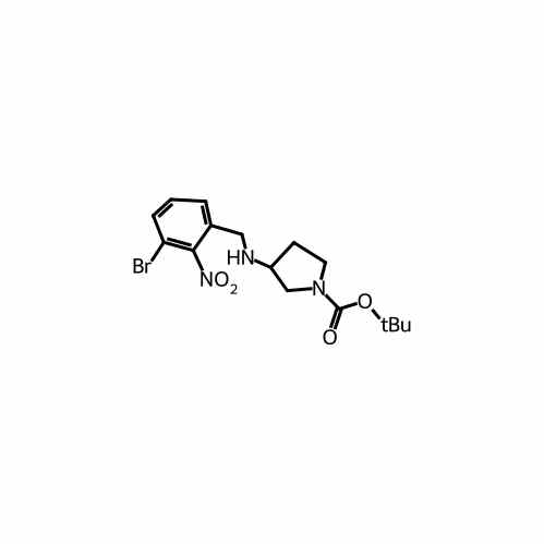 CC(C)(C)OC(=O)N1CCC(NCc2cccc(Br)c2[N+](=O)[O-])C1